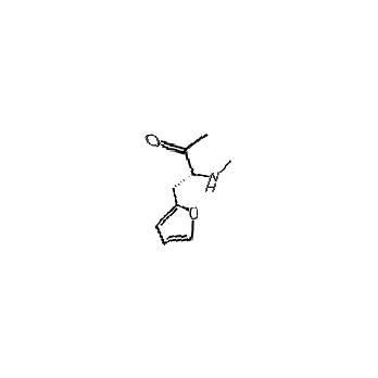 CN[C@H](Cc1ccco1)C(C)=O